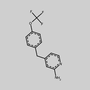 Nc1cc(Cc2ccc(OC(F)(F)F)cc2)ccn1